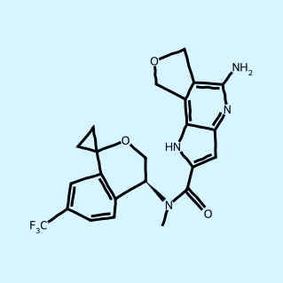 CN(C(=O)c1cc2nc(N)c3c(c2[nH]1)COC3)[C@@H]1COC2(CC2)c2cc(C(F)(F)F)ccc21